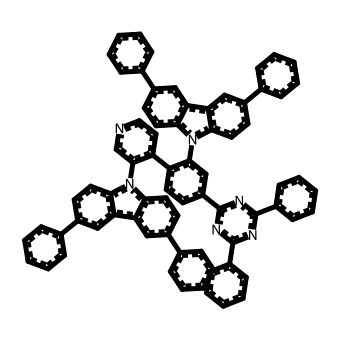 c1ccc(-c2ccc3c(c2)c2cc(-c4ccccc4)ccc2n3-c2cnccc2-c2ccc(-c3nc(-c4ccccc4)nc(-c4ccccc4)n3)cc2-n2c3ccc(-c4ccccc4)cc3c3cc(-c4ccccc4)ccc32)cc1